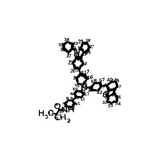 C=C(C)C(=O)Nc1ccc(-c2ccc(N(c3ccc(-c4ccc5c(c4)c4ccccc4n5-c4ccccc4)cc3)c3ccc(-c4cccc5c4oc4ccccc45)cc3)cc2)cc1